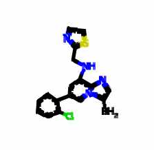 Bc1cnc2c(NCc3nccs3)cc(-c3ccccc3Cl)cn12